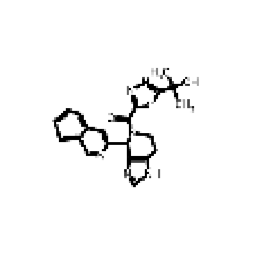 CC(C)(O)c1nnc(C(=O)N2CCc3[nH]cnc3[C@H]2c2cc3ccccc3cn2)o1